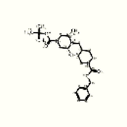 C[C@H]1CN(C(=O)OC(C)(C)C)C[C@H](C)N1CC1CCN(C(=O)OCc2ccccc2)CC1